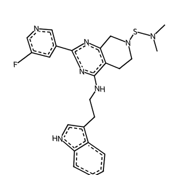 CN(C)SN1CCc2c(nc(-c3cncc(F)c3)nc2NCCc2c[nH]c3ccccc23)C1